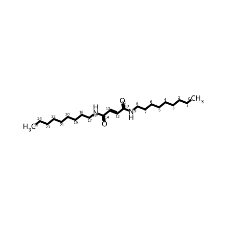 CCCCCCCCCNC(=O)C=CC(=O)NCCCCCCCCC